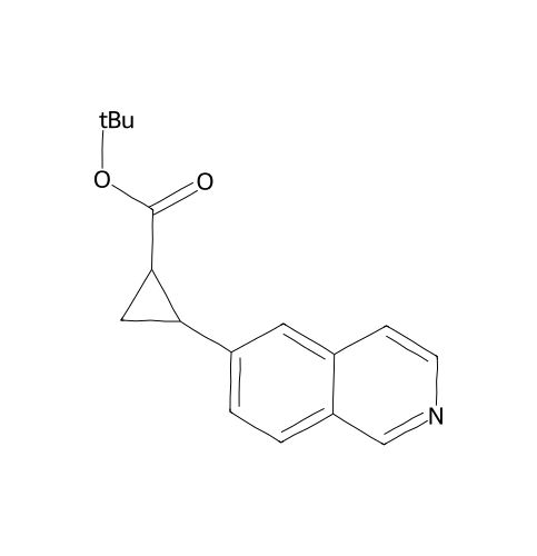 CC(C)(C)OC(=O)C1CC1c1ccc2cnccc2c1